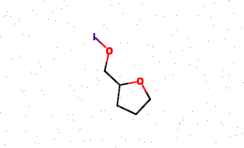 IOCC1CCCO1